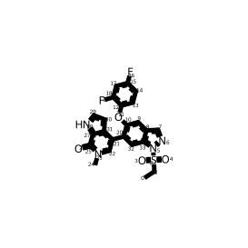 CCS(=O)(=O)n1ncc2cc(Oc3ccc(F)cc3F)c(-c3cn(C)c(=O)c4[nH]ccc34)cc21